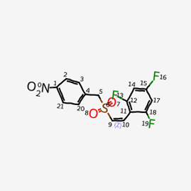 O=[N+]([O-])c1ccc(CS(=O)(=O)/C=C\c2c(F)cc(F)cc2F)cc1